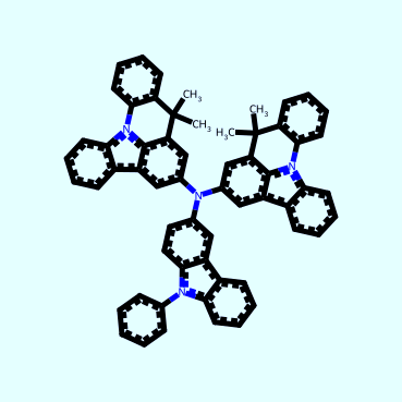 CC1(C)c2ccccc2-n2c3ccccc3c3cc(N(c4ccc5c(c4)c4ccccc4n5-c4ccccc4)c4cc5c6c(c4)c4ccccc4n6-c4ccccc4C5(C)C)cc1c32